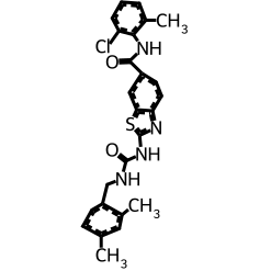 Cc1ccc(CNC(=O)Nc2nc3ccc(C(=O)Nc4c(C)cccc4Cl)cc3s2)c(C)c1